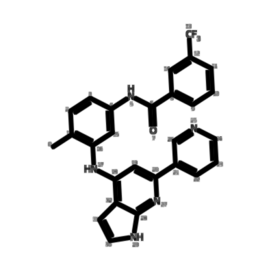 Cc1ccc(NC(=O)c2cccc(C(F)(F)F)c2)cc1Nc1cc(-c2cccnc2)nc2[nH]ccc12